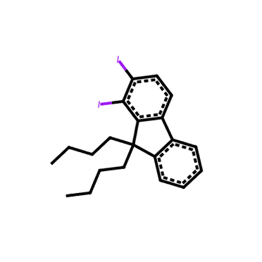 CCCCC1(CCCC)c2ccccc2-c2ccc(I)c(I)c21